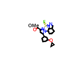 COC(=O)c1cc(-c2cccc(OC3CC3)c2)n(-c2cccc3cnn(SF)c23)n1